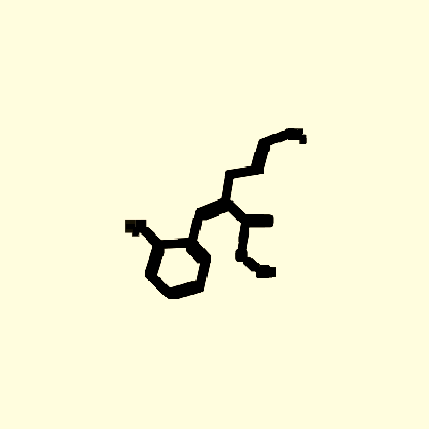 CC=CCC(=Cc1ccccc1N)C(=O)OC(C)(C)C